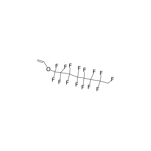 C=COC(F)(F)C(F)(F)C(F)(F)C(F)(F)C(F)(F)C(F)(F)C(F)(F)CF